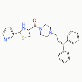 O=C(C1CSC(c2cccnc2)N1)N1CCN(CC=C(c2ccccc2)c2ccccc2)CC1